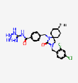 CC(C)(C)C1CCC2(CC1)CN(Cc1ccc(Cl)cc1Cl)C(=O)N2Cc1ccc(C(=O)NC2=NNNN2)cc1